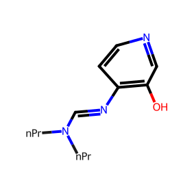 CCCN(C=Nc1ccncc1O)CCC